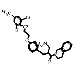 Cc1cc(Cl)c(OCCOc2ccc(CC(CN)C(=O)N3CCc4ccccc4C3)cc2)c(Cl)c1